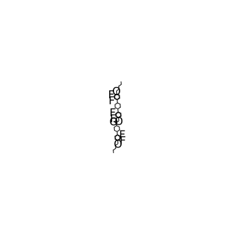 CCCCOc1ccc(C2CCC(C(=O)Oc3ccc(C4CCC(c5ccc(OCCCC)c(F)c5F)CC4)c(F)c3F)CC2)c(F)c1F